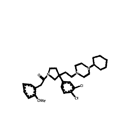 COc1ccccc1CC(=O)N1CCC(CCN2CCN(C3CCCCC3)CC2)(c2ccc(Cl)c(Cl)c2)C1